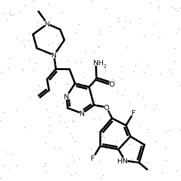 C=C/C=C(\Cc1ncnc(Oc2cc(F)c3[nH]c(C)cc3c2F)c1C(N)=O)N1CCN(C)CC1